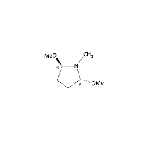 CO[C@@H]1CC[C@@H](OC)N1C